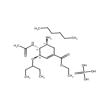 CCCCCC.CCOC(=O)C1=C[C@@H](OC(CC)CC)[C@H](NC(C)=O)[C@@H](N)C1.O=P(O)(O)O